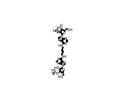 O=[PH](S)OC1C(n2cnc3c(NC/C=C/CNc4ncnc5c4ncn5[C@@H]4O[C@H](CO)[C@@H](O[PH](=O)S)[C@H]4O)ncnc32)O[C@H](CO)[C@H]1O